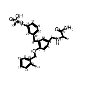 CC(NCc1ccc(OCc2ccccc2F)c(Cc2cccc(F)c2)c1)C(N)=O.CS(=O)(=O)O